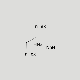 CCCCCCCCCCCCCC.[NaH].[NaH]